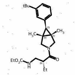 CCOC(=O)NC[C@@H](CC)C(=O)N1C[C@@]2(C)[C@H](c3cccc(C(C)(C)C)c3)[C@@]2(C)C1